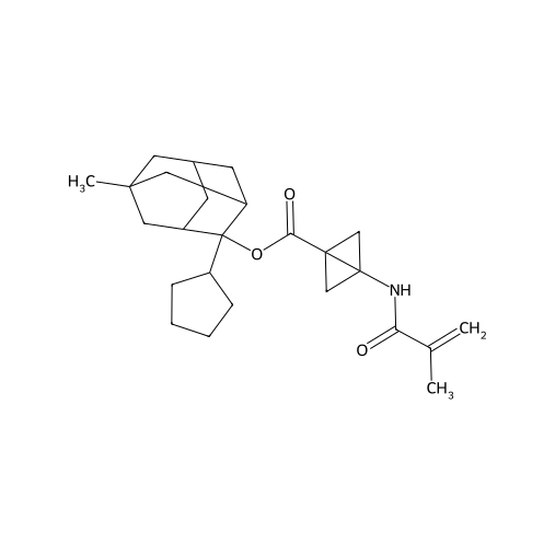 C=C(C)C(=O)NC12CC1(C(=O)OC1(C3CCCC3)C3CC4CC1CC(C)(C4)C3)C2